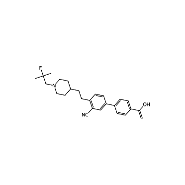 C=C(O)c1ccc(-c2ccc(CCC3CCN(CC(C)(C)F)CC3)c(C#N)c2)cc1